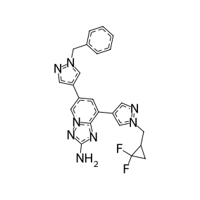 Nc1nc2c(-c3cnn(CC4CC4(F)F)c3)cc(-c3cnn(Cc4ccccc4)c3)cn2n1